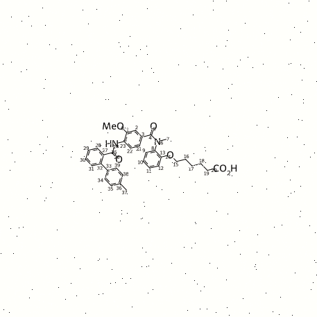 COc1cc(C(=O)N(C)c2ccccc2OCCCCCC(=O)O)ccc1NC(=O)c1ccccc1-c1ccc(C)cc1